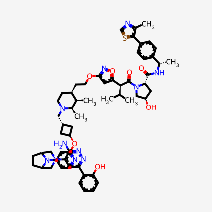 Cc1ncsc1-c1ccc([C@H](C)NC(=O)[C@@H]2C[C@@H](O)CN2C(=O)[C@H](c2cc(OCC[C@@H]3CCN(C[C@H]4C[C@H](Oc5cc(N6C7CCC6CN(c6cc(-c8ccccc8O)nnc6N)C7)ccn5)C4)[C@H](C)[C@@H]3C)no2)C(C)C)cc1